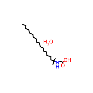 CCCCCCCCCCCCCCCCCC(C)(C)NCC(=O)O.O